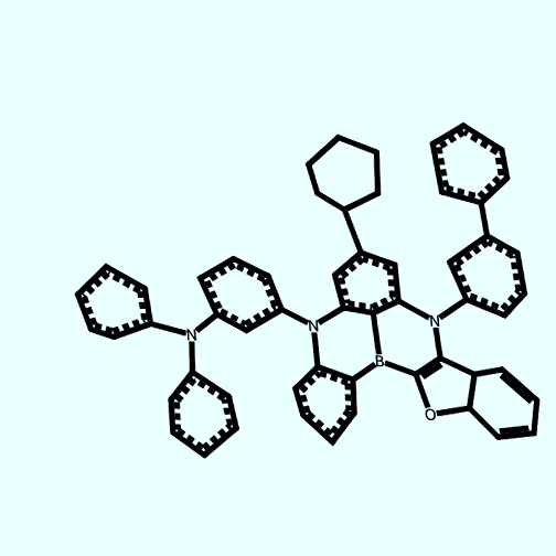 C1=CC2OC3=C(C2C=C1)N(c1cccc(-c2ccccc2)c1)c1cc(C2CCCCC2)cc2c1B3c1ccccc1N2c1cccc(N(c2ccccc2)c2ccccc2)c1